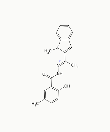 C/C(=N\NC(=O)c1cc(C)ccc1O)c1cc2ccccc2n1C